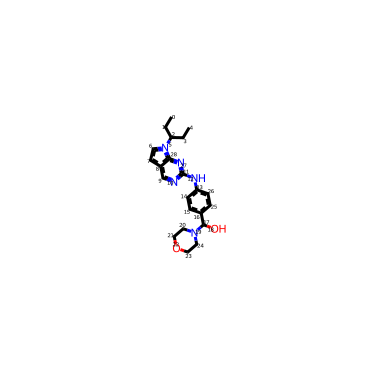 CCC(CC)n1ccc2cnc(Nc3ccc(C(O)N4CCOCC4)cc3)nc21